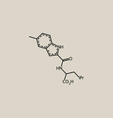 Cc1ccc2[nH]c(C(=O)NC(CC(C)C)C(=O)O)cc2c1